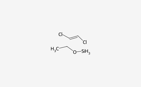 CCO[SiH3].ClC=CCl